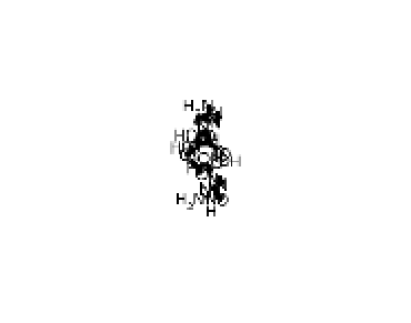 Nc1nc2c(ncn2[C@@H]2O[C@@H]3COP(=O)(O)OC4C(O)[C@H](n5ccc6c(N)ncnc65)O[C@@H]4COP(=O)(O)OC2C3O)c(=O)[nH]1